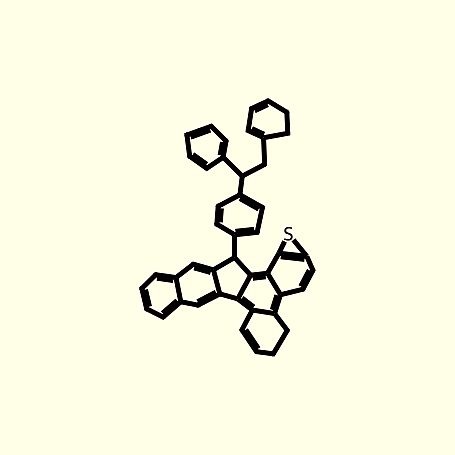 C1=CCCC(CC(c2ccccc2)c2ccc(C3c4cc5ccccc5cc4-c4c5c(c6ccc7c(c6c43)S7)CCC=C5)cc2)=C1